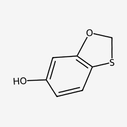 Oc1ccc2c(c1)OCS2